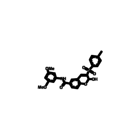 COc1cc(NC(=O)c2ccc3c(c2)C=C(S(=O)(=O)c2ccc(C)cc2)C(O)O3)cc(OC)c1